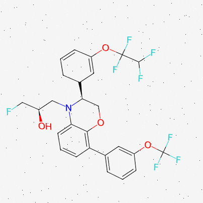 O[C@@H](CF)CN1c2cccc(-c3cccc(OC(F)(F)F)c3)c2OC[C@@H]1C1C=C(OC(F)(F)C(F)F)C=CC1